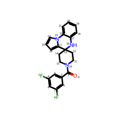 O=C(c1cc(F)cc(F)c1)N1CCC2(CC1)Nc1ccccc1-n1cccc12